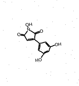 O=C1C=C(c2cc(O)cc(O)c2)C(=O)N1O